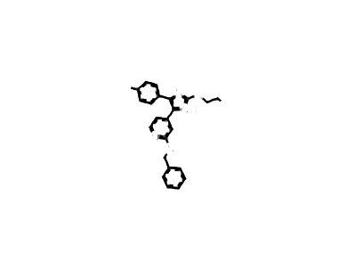 OCCSc1nc(-c2ccc(F)cc2)c(-c2ccnc(NCc3ccccc3)c2)[nH]1